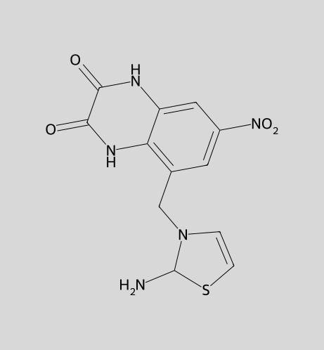 NC1SC=CN1Cc1cc([N+](=O)[O-])cc2[nH]c(=O)c(=O)[nH]c12